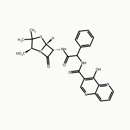 CC1(C)S[C@@H]2[C@H](NC(=O)C(NC(=O)c3cnc4cccnc4c3O)c3ccccc3)C(=O)N2[C@H]1C(=O)O